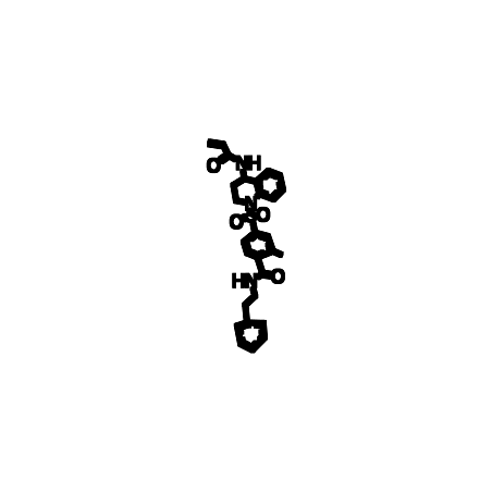 C=CC(=O)NC1CCN(S(=O)(=O)c2ccc(C(=O)NCCc3ccccc3)c(C)c2)c2ccccc21